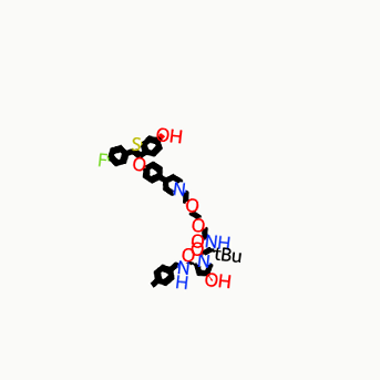 Cc1ccc(CNC(=O)[C@@H]2C[C@@H](O)CN2C(=O)[C@@H](NC(=O)COCCOCCN2CCC(c3ccc(Oc4c(-c5ccc(F)cc5)sc5cc(O)ccc45)cc3)CC2)C(C)(C)C)cc1